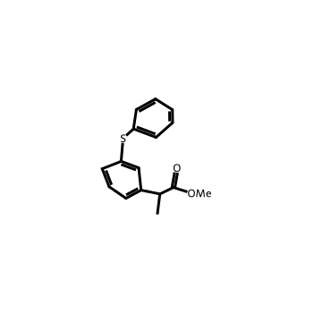 COC(=O)C(C)c1cccc(Sc2ccccc2)c1